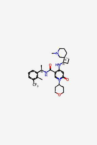 Cc1c([C@@H](C)NC(=O)c2cn(C3CCOCC3)c(=O)cc2N[C@@H]2CC[C@]23CCCN(C)C3)cccc1C(F)(F)F